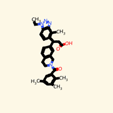 CCn1nnc2c(C)c(C(CC(=O)O)c3ccc4c(c3)CN(C(=O)c3cc(C)cc(C)c3C)CC4)ccc21